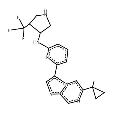 CC1(c2cn3c(-c4cccc(NC5CNCC5C(F)(F)F)n4)cnc3cn2)CC1